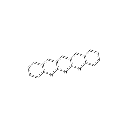 c1ccc2nc3nc4nc5ccccc5cc4cc3cc2c1